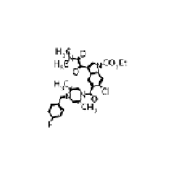 CCOC(=O)n1cc(C(=O)C(=O)N(C)C)c2cc(C(=O)N3C[C@H](C)N(Cc4ccc(F)cc4)C[C@H]3C)c(Cl)cc21